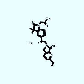 Br.CCc1ccc2c(n1)C(=N)N(CC(=O)c1ccc3c(c1)C(C)(C)C(=O)N3CC(=O)O)C2